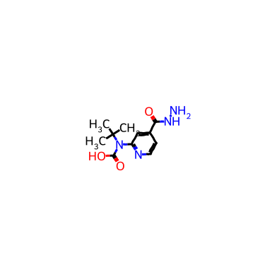 CC(C)(C)N(C(=O)O)c1cc(C(=O)NN)ccn1